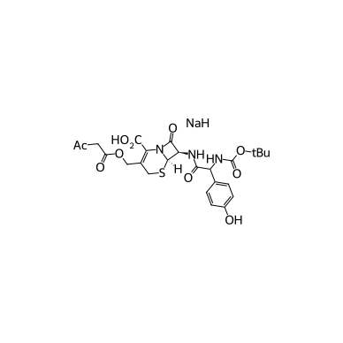 CC(=O)CC(=O)OCC1=C(C(=O)O)N2C(=O)[C@@H](NC(=O)C(NC(=O)OC(C)(C)C)c3ccc(O)cc3)[C@H]2SC1.[NaH]